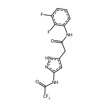 O=C(Cc1cc(NC(=O)C(F)(F)F)n[nH]1)Nc1cccc(F)c1F